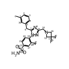 Cc1cccc(Cc2nc(CN3CC(F)(F)C3)nn2-c2ccc(S(N)(=O)=O)cc2F)c1